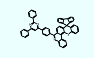 c1ccc(-c2cc(-c3ccc(-c4nc5ccccc5c5c6c(ccc45)C4(c5ccccc5S6)c5ccccc5-c5ccccc54)cc3)nc(-c3ccccc3)n2)cc1